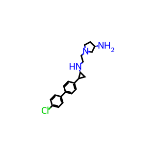 N[C@@H]1CCN(CCN[C@H]2CC2c2ccc(-c3ccc(Cl)cc3)cc2)C1